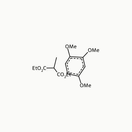 CCOC(=O)C(C)C(=O)OCC.COc1ccc(OC)c(OC)c1